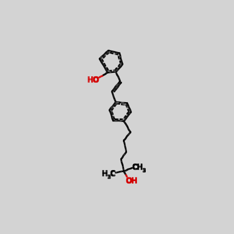 CC(C)(O)CCCCc1ccc(C=Cc2ccccc2O)cc1